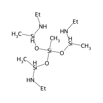 CCN[SiH](C)O[Si](C)(O[SiH](C)NCC)O[SiH](C)NCC